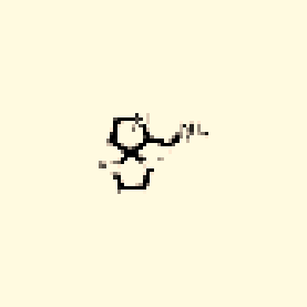 NCC1NCCC12OCCO2